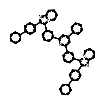 c1ccc(-c2ccc(-c3nc4ccccn4c3-c3cccc(-c4cc(-c5ccccc5)cc(-c5cccc(-c6c(-c7ccc(-c8ccccc8)cc7)nc7ccccn67)c5)n4)c3)cc2)cc1